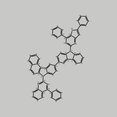 c1ccc(-c2cc3nc(-n4c5ccccc5c5cc(-c6ccc7c(c6)c6c8ccccc8ccc6n7-c6nc(-c7ccccc7)c7ccccc7n6)ccc54)nc(-c4ccccc4)c3s2)cc1